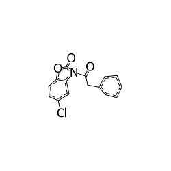 O=C(Cc1ccccc1)n1c(=O)oc2ccc(Cl)cc21